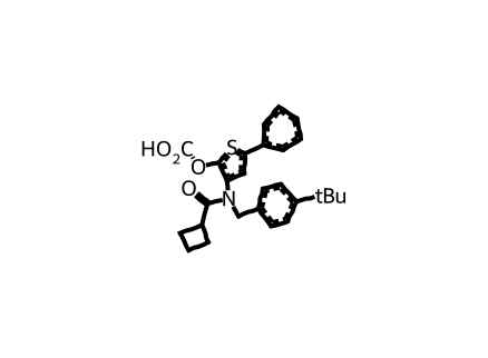 CC(C)(C)c1ccc(CN(C(=O)C2CCC2)c2cc(-c3ccccc3)sc2OC(=O)O)cc1